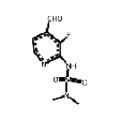 CN(C)S(=O)(=O)Nc1nccc(C=O)c1F